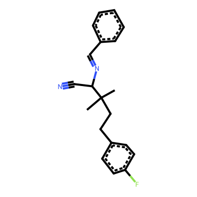 CC(C)(CCc1ccc(F)cc1)C(C#N)N=Cc1ccccc1